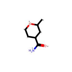 CC1CC(C(N)=O)CCO1